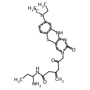 C=C(CC(=O)Cn1cc2c(nc1=O)Nc1cc(N(CC)CC)ccc1S2)CC(=O)NC(N)CC